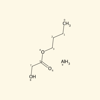 CCCCOC(=O)CO.[AlH3]